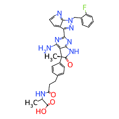 CC(NC(=O)CCc1ccc([C@@]2(C)C(=O)Nc3nc(-c4nn(Cc5ccccc5F)c5ncccc45)nc(N)c32)cc1)C(=O)O